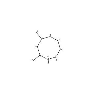 CC1CCCONC(C)C1